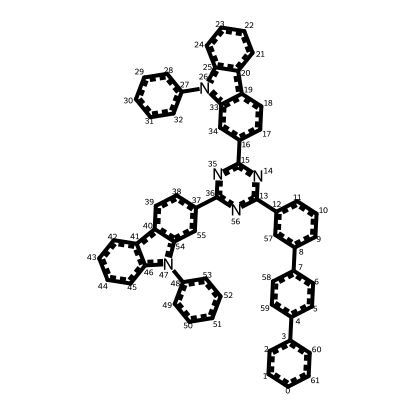 c1ccc(-c2ccc(-c3cccc(-c4nc(-c5ccc6c7ccccc7n(-c7ccccc7)c6c5)nc(-c5ccc6c7ccccc7n(-c7ccccc7)c6c5)n4)c3)cc2)cc1